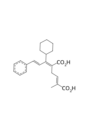 CC(=CCC(C(=O)O)=C(C=Cc1ccccc1)C1CCCCC1)C(=O)O